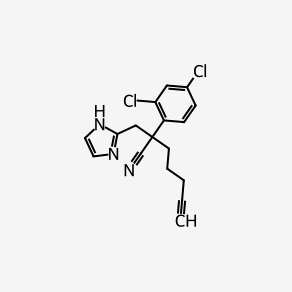 C#CCCCC(C#N)(Cc1ncc[nH]1)c1ccc(Cl)cc1Cl